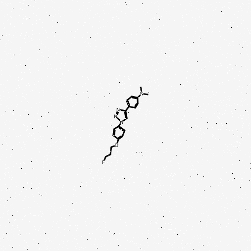 CN(C)c1ccc(-c2cn(-c3ccc(OCCCF)cc3)nn2)cc1